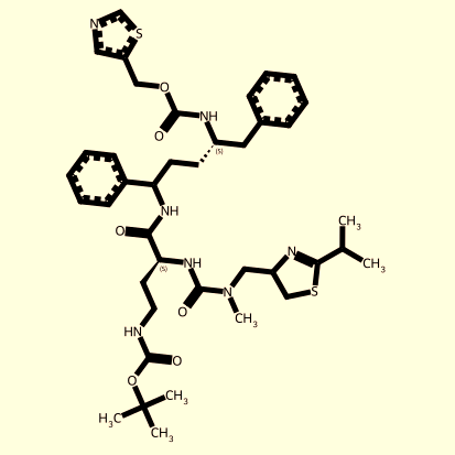 CC(C)C1=NC(CN(C)C(=O)N[C@@H](CCNC(=O)OC(C)(C)C)C(=O)NC(CC[C@@H](Cc2ccccc2)NC(=O)OCc2cncs2)c2ccccc2)CS1